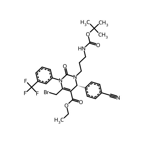 CCOC(=O)C1=C(CBr)N(c2cccc(C(F)(F)F)c2)C(=O)N(CCCNC(=O)OC(C)(C)C)[C@@H]1c1ccc(C#N)cc1